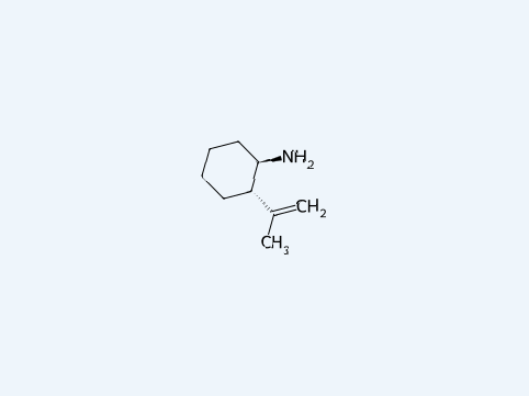 C=C(C)[C@@H]1CCCC[C@H]1N